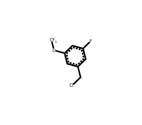 Fc1cc(CCl)cc(OC(F)(F)F)c1